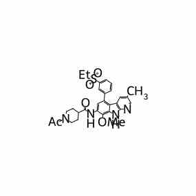 CCS(=O)(=O)c1cccc(-c2cc(NC(=O)C3CCN(C(C)=O)CC3)c(OC)c3[nH]c4ncc(C)cc4c23)c1